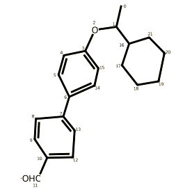 CC(Oc1ccc(-c2ccc([C]=O)cc2)cc1)C1CCCCC1